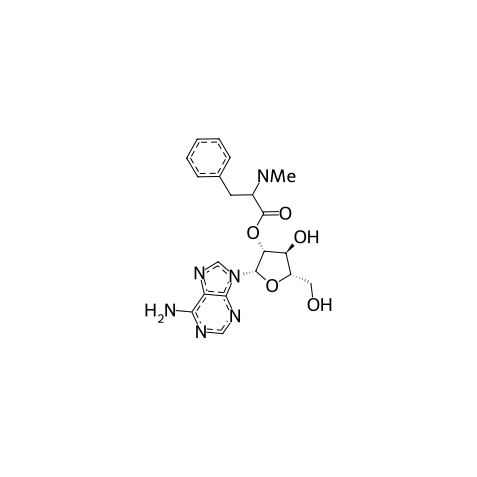 CNC(Cc1ccccc1)C(=O)O[C@@H]1[C@@H](O)[C@H](CO)O[C@@H]1n1cnc2c(N)ncnc21